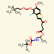 COc1cc2sc(C(=O)CCC(=O)O[C@@H](C)CNC(=O)OC(C)(C)C)cc2c(F)c1OCOCC[Si](C)(C)C